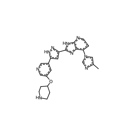 Cc1cn(-c2ccnc3[nH]c(-c4cc(-c5cncc(OC6CCNCC6)c5)[nH]n4)nc23)cn1